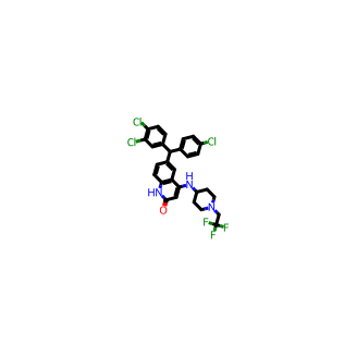 O=c1cc(NC2CCN(CC(F)(F)F)CC2)c2cc(C(c3ccc(Cl)cc3)c3ccc(Cl)c(Cl)c3)ccc2[nH]1